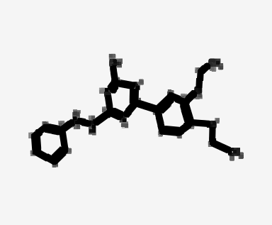 CCOc1ccc(-c2nc(O)nc(NNc3ccccc3)n2)cc1OCC